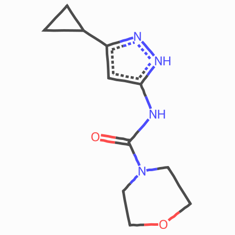 O=C(Nc1cc(C2CC2)n[nH]1)N1CCOCC1